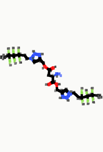 N[C@@H](CC(=O)OCc1cn(CCC(F)(F)C(F)(F)C(F)(F)C(F)(F)F)nn1)C(=O)OCc1cn(CCC(F)(F)C(F)(F)C(F)(F)C(F)(F)F)nn1